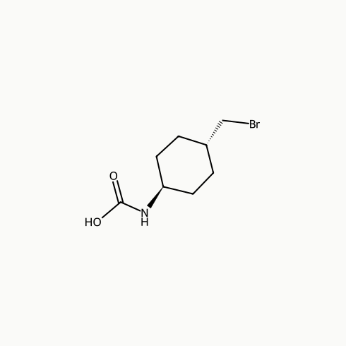 O=C(O)N[C@H]1CC[C@H](CBr)CC1